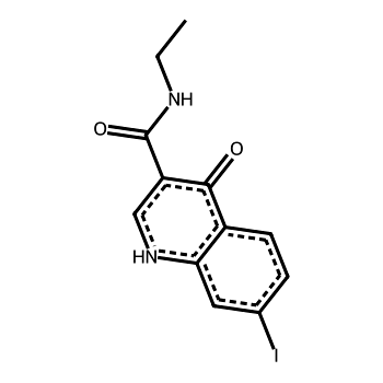 CCNC(=O)c1c[nH]c2cc(I)ccc2c1=O